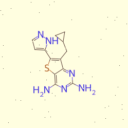 Nc1nc(N)c2sc(-c3ccn[nH]3)c(CC3CC3)c2n1